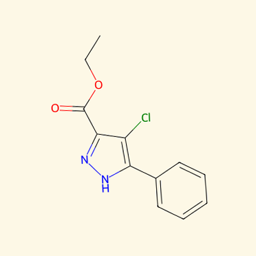 CCOC(=O)c1n[nH]c(-c2ccccc2)c1Cl